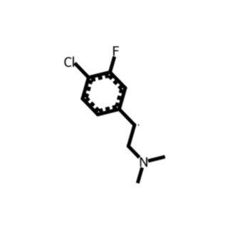 CN(C)C[CH]c1ccc(Cl)c(F)c1